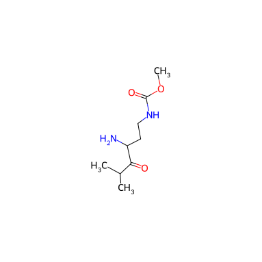 COC(=O)NCCC(N)C(=O)C(C)C